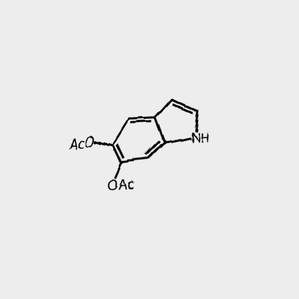 CC(=O)Oc1cc2cc[nH]c2cc1OC(C)=O